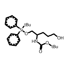 CC(C)(C)OC(=O)NC(CCCO)CO[Si](c1ccccc1)(c1ccccc1)C(C)(C)C